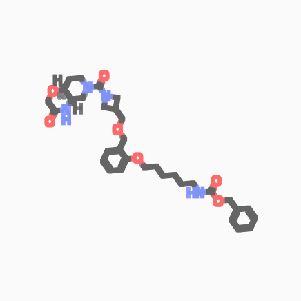 O=C1CO[C@H]2CCN(C(=O)N3CC(COCc4ccccc4OCCCCCCNC(=O)OCc4ccccc4)C3)C[C@H]2N1